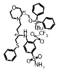 CC(C)(C)[Si](OC[C@H]1COCCN1CC[C@H](CSc1ccccc1)Nc1ccc(S(N)(=O)=O)cc1S(=O)(=O)C(F)(F)F)(c1ccccc1)c1ccccc1